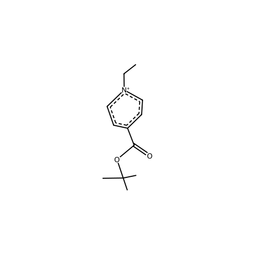 CC[n+]1ccc(C(=O)OC(C)(C)C)cc1